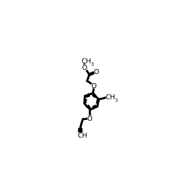 C#CCOc1ccc(OCC(=O)OC)c(C)c1